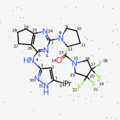 CC(C)c1cc(Nc2nc(N3CCC[C@@H]3C(=O)N3CC(F)(F)C(F)(F)C3)nc3c2CCC3)n[nH]1